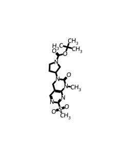 CN1C(=O)N(C2CCN(C(=O)OC(C)(C)C)C2)Cc2cnc(S(C)(=O)=O)nc21